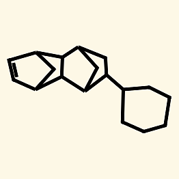 C1=CC2CC1C1C3CC(C4CCCCC4)C(C3)C21